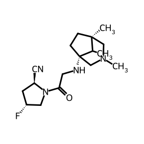 CC1[C@@]2(C)CC[C@]1(NCC(=O)N1C[C@H](F)C[C@H]1C#N)CN(C)C2